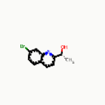 C[C@@H](O)c1ccc2ccc(Br)cc2n1